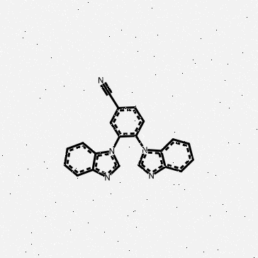 N#Cc1ccc(-n2cnc3ccccc32)c(-n2cnc3ccccc32)c1